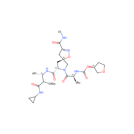 CCC[C@H](NC(=O)[C@@H]1C[C@]2(CC(C(=O)NCC)=NO2)CN1C(=O)[C@@H](NC(=O)O[C@H]1CCOC1)C(C)(C)C)C(OC)C(=O)NC1CC1